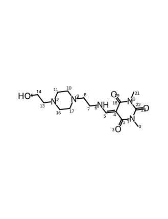 CN1C(=O)C(=CNCCN2CCN(CCO)CC2)C(=O)N(C)C1=O